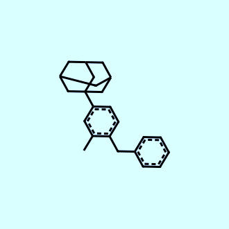 Cc1cc(C23CC4CC(CC(C4)C2)C3)ccc1Cc1ccccc1